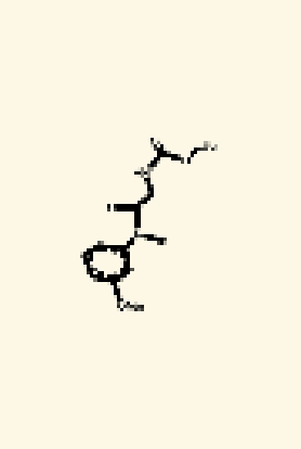 COc1cccc(N(C)C(=O)CNC(=O)OC(C)(C)C)c1